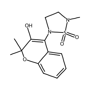 CN1CCN(C2=C(O)C(C)(C)Oc3ccccc32)S1(=O)=O